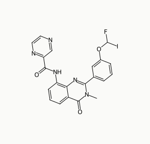 Cn1c(-c2cccc(OC(F)I)c2)nc2c(NC(=O)c3cnccn3)cccc2c1=O